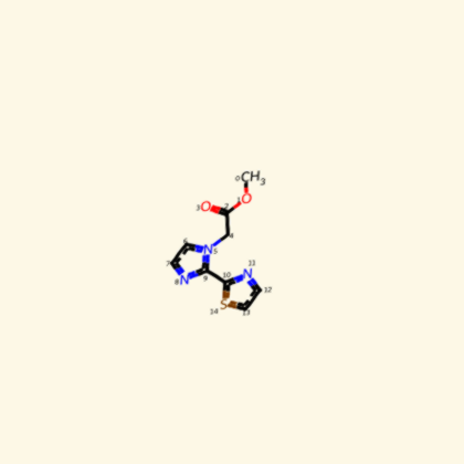 COC(=O)Cn1ccnc1-c1nccs1